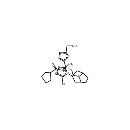 Cc1nnc(C(C)C)n1C1CC2CCC(C1)N2CC[C@H](NC(=O)C1CCCC1)c1ccc(CN=O)s1